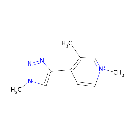 Cc1c[n+](C)ccc1-c1cn(C)nn1